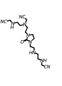 N#CCNCCNCCN1CCN(CCN(CC#N)CCNCC#N)C1=O